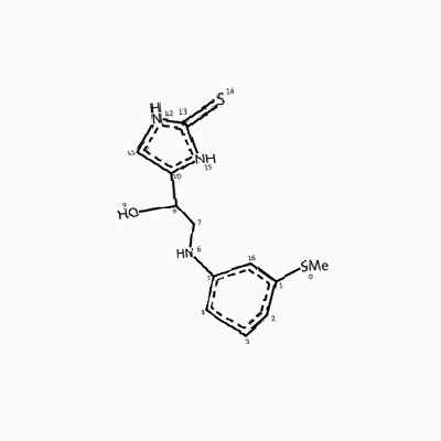 CSc1cccc(NCC(O)c2c[nH]c(=S)[nH]2)c1